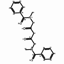 CN(CC(=O)CC(=O)CN(C)C(=S)c1ccccc1)C(=S)c1ccccc1